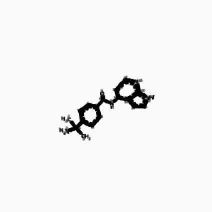 CC(C)(N)c1ccc(C(=O)Nc2ccnc3[nH]ccc23)cc1